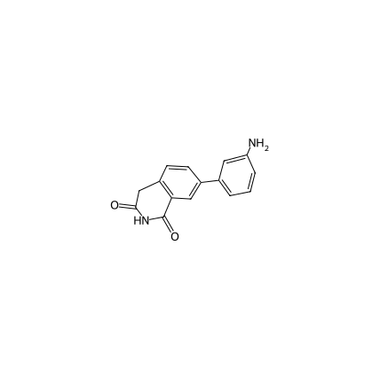 Nc1cccc(-c2ccc3c(c2)C(=O)NC(=O)C3)c1